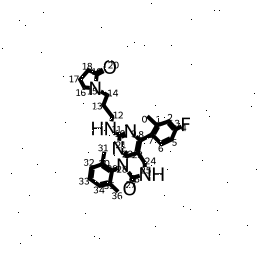 Cc1cc(F)ccc1-c1nc(NCCCN2CCCC2=O)nc2c1CNC(=O)N2c1c(C)cccc1C